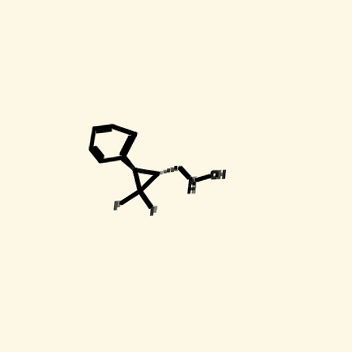 ONC[C@H]1[C@H](c2ccccc2)C1(F)F